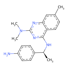 Cc1ccc2c(N[C@@H](C)c3ccc(N)cc3)nc(N(C)C)nc2c1